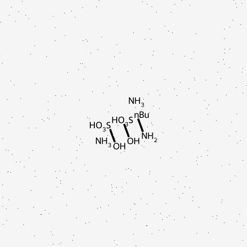 CCCCN.N.N.O=S(=O)(O)O.O=S(=O)(O)O